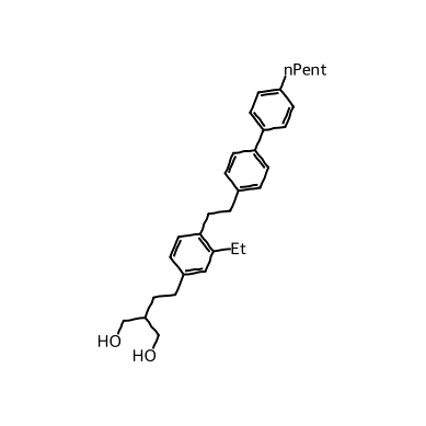 CCCCCc1ccc(-c2ccc(CCc3ccc(CCC(CO)CO)cc3CC)cc2)cc1